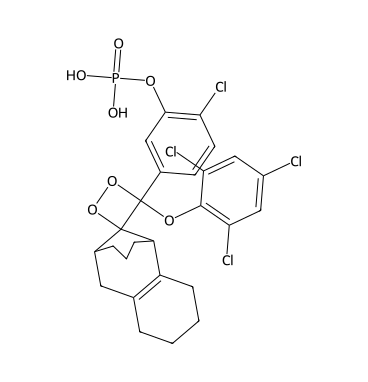 O=P(O)(O)Oc1cc(C2(Oc3c(Cl)cc(Cl)cc3Cl)OOC23C2CCCC3C3=C(CCCC3)C2)ccc1Cl